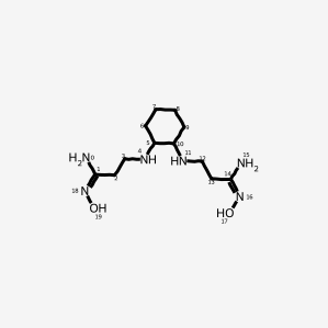 N/C(CCNC1CCCCC1NCC/C(N)=N\O)=N/O